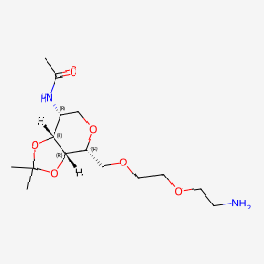 CC(=O)N[C@@H]1CO[C@H](COCCOCCN)[C@@H]2OC(C)(C)O[C@@H]21